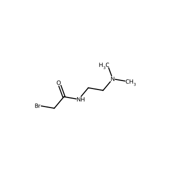 CN(C)CCNC(=O)CBr